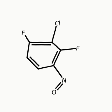 O=Nc1ccc(F)c(Cl)c1F